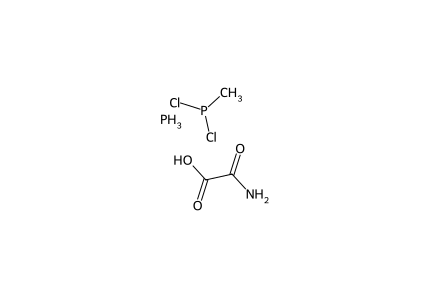 CP(Cl)Cl.NC(=O)C(=O)O.P